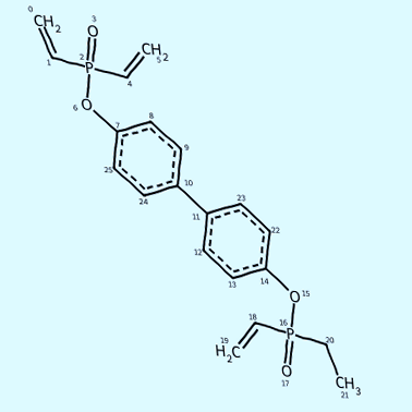 C=CP(=O)(C=C)Oc1ccc(-c2ccc(OP(=O)(C=C)CC)cc2)cc1